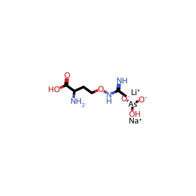 CC(=N)NOCCC(N)C(=O)O.[Li+].[Na+].[O-][As]([O-])O